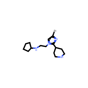 CCc1cn(CCNC2CCCC2)c(C2CCNCC2)n1